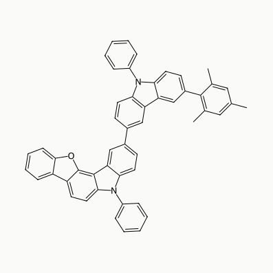 Cc1cc(C)c(-c2ccc3c(c2)c2cc(-c4ccc5c(c4)c4c6oc7ccccc7c6ccc4n5-c4ccccc4)ccc2n3-c2ccccc2)c(C)c1